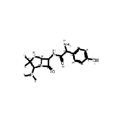 CP(C)C1N2C(=O)C(NC(=O)C(N)c3ccc(O)cc3)C2SC1(C)C